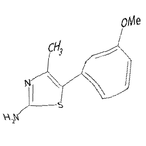 COc1cccc(-c2sc(N)nc2C)c1